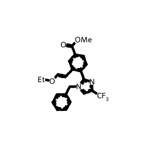 CCOC=Cc1cc(C(=O)OC)ccc1-c1nc(C(F)(F)F)cn1Cc1ccccc1